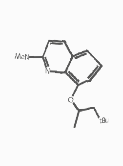 CNc1ccc2cccc(OC(C)CC(C)(C)C)c2n1